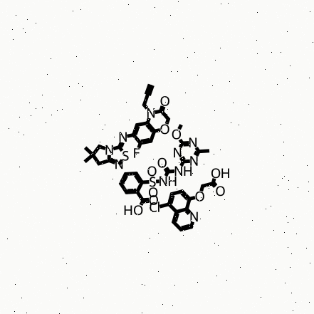 C#CCN1C(=O)COc2cc(F)c(/N=c3\snc4n3CC(C)(C)C4)cc21.COc1nc(C)nc(NC(=O)NS(=O)(=O)c2ccccc2C(=O)O)n1.O=C(O)COc1ccc(Cl)c2cccnc12